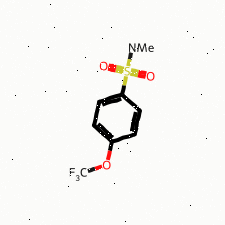 CNS(=O)(=O)c1ccc(OC(F)(F)F)cc1